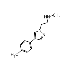 CNCCn1cc(-c2ccc(C)cc2)cn1